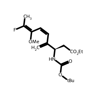 C=C(/C=C\C(OC)=C(/C)F)[C@@H](CC(=O)OCC)NC(=O)OC(C)(C)C